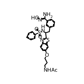 CC(=O)NCCCOc1ccc2nc(C(Cc3cccc(C(N)=NO)c3)NS(=O)(=O)c3ccccc3)sc2c1